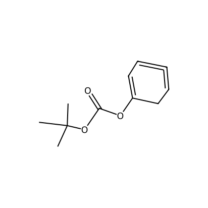 CC(C)(C)OC(=O)OC1=CC=C=CC1